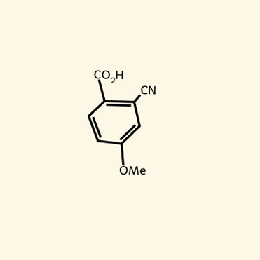 COc1ccc(C(=O)O)c(C#N)c1